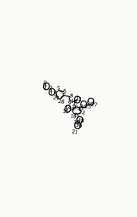 COCOc1ccc(/C=C/C(=O)c2c(OC)cc(OCOC)cc2OCOC)cc1